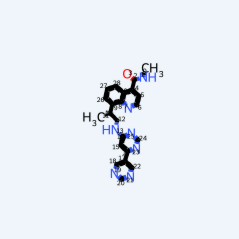 CNC(=O)c1ccnc2c([C@H](C)CNc3cc(-c4cncnc4)ncn3)cccc12